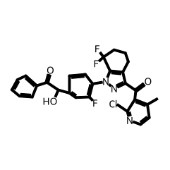 Cc1ccnc(Cl)c1C(=O)c1nn(-c2ccc(C(O)C(=O)c3ccccc3)cc2F)c2c1CCCC2(F)F